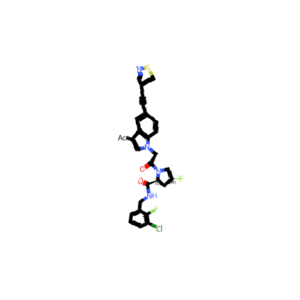 CC(=O)c1cn(CC(=O)N2C[C@H](F)C[C@H]2C(=O)NCc2cccc(Cl)c2F)c2ccc(C#Cc3cnsc3)cc12